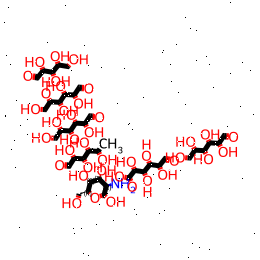 CC(O)C(O)C(O)C(O)C=O.N[C@H]1C(O)O[C@H](CO)[C@@H](O)[C@@H]1O.O=CC(O)C(O)C(O)C(O)C(=O)O.O=CC(O)C(O)C(O)C(O)CO.O=CC(O)C(O)C(O)C(O)CO.O=CC(O)C(O)C(O)C(O)CO.O=CC(O)C(O)C(O)CO